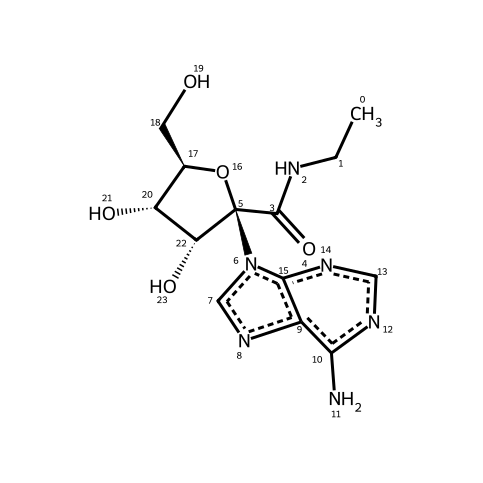 CCNC(=O)[C@@]1(n2cnc3c(N)ncnc32)O[C@H](CO)[C@@H](O)[C@H]1O